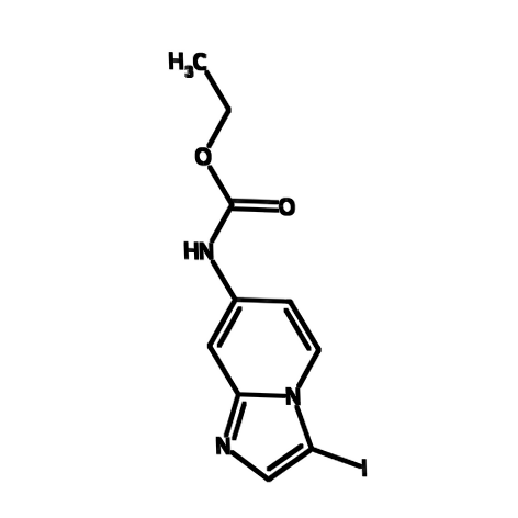 CCOC(=O)Nc1ccn2c(I)cnc2c1